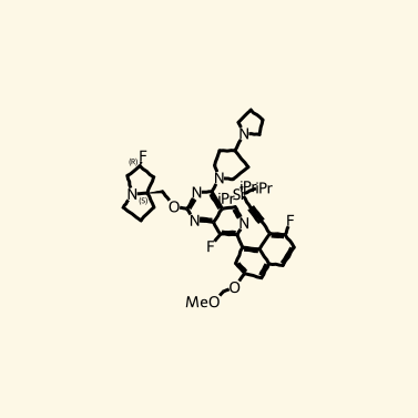 COCOc1cc(-c2ncc3c(N4CCC(N5CCCC5)CC4)nc(OC[C@@]45CCCN4C[C@H](F)C5)nc3c2F)c2c(C#C[Si](C(C)C)(C(C)C)C(C)C)c(F)ccc2c1